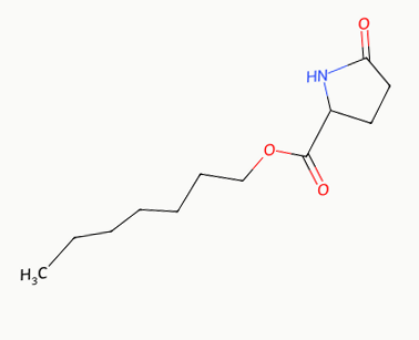 CCCCCCCOC(=O)C1CCC(=O)N1